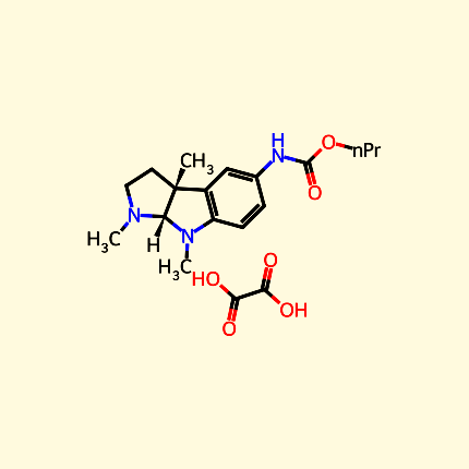 CCCOC(=O)Nc1ccc2c(c1)[C@@]1(C)CCN(C)[C@H]1N2C.O=C(O)C(=O)O